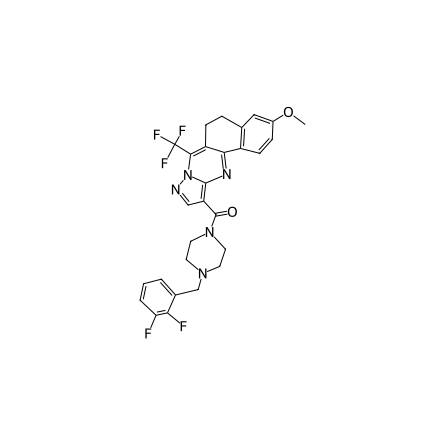 COc1ccc2c(c1)CCc1c-2nc2c(C(=O)N3CCN(Cc4cccc(F)c4F)CC3)cnn2c1C(F)(F)F